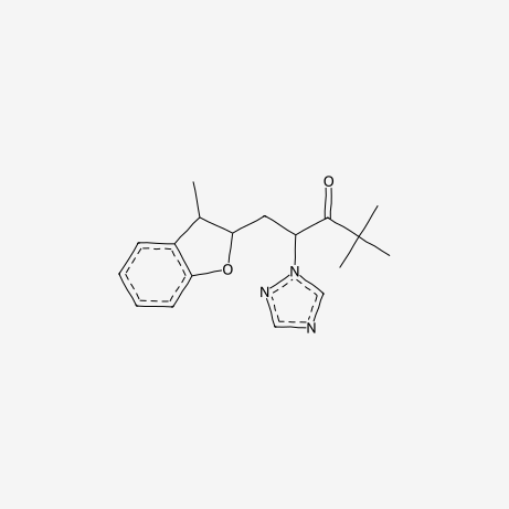 CC1c2ccccc2OC1CC(C(=O)C(C)(C)C)n1cncn1